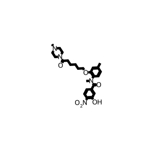 Cc1ccc(N(C)C(=O)c2ccc([N+](=O)[O-])c(O)c2)c(OCCCCCC(=O)N2CCN(C)CC2)c1